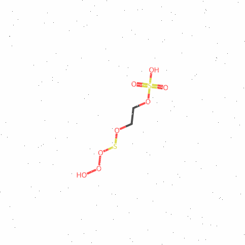 O=S(=O)(O)OCCOSOOO